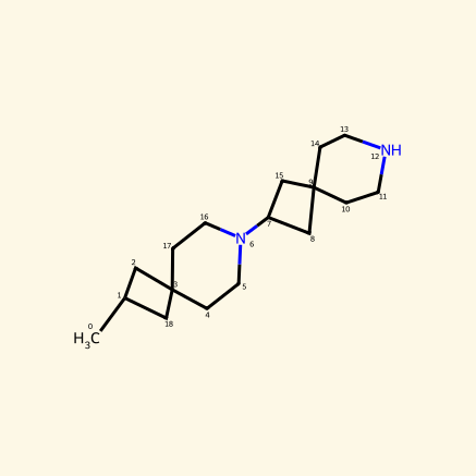 CC1CC2(CCN(C3CC4(CCNCC4)C3)CC2)C1